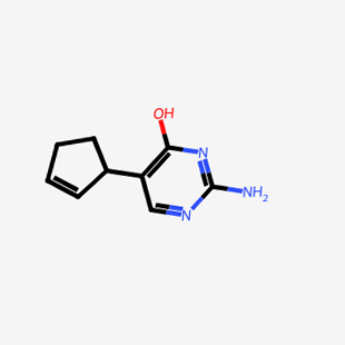 Nc1ncc(C2C=CCC2)c(O)n1